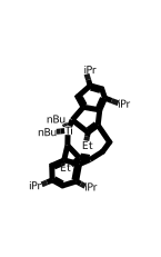 CCC[CH2][Ti]1([CH2]CCC)[CH]2C(CC)=C(CCC3=C(CC)[CH]1c1cc(C(C)C)cc(C(C)C)c13)c1c(C(C)C)cc(C(C)C)cc12